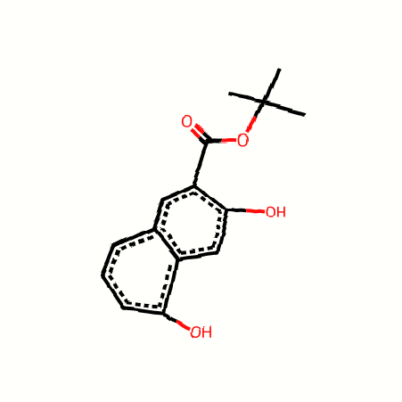 CC(C)(C)OC(=O)c1cc2cccc(O)c2cc1O